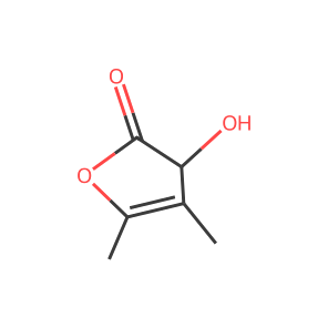 CC1=C(C)C(O)C(=O)O1